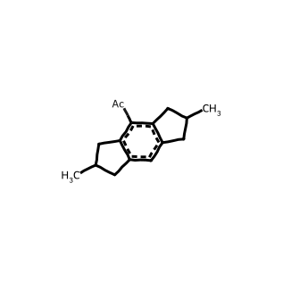 CC(=O)c1c2c(cc3c1CC(C)C3)CC(C)C2